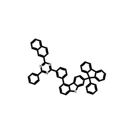 c1ccc(-c2nc(-c3cccc(-c4cccc5sc6cc(C7(c8ccccc8)c8ccccc8-c8ccccc87)ccc6c45)c3)nc(-c3ccc4ccccc4c3)n2)cc1